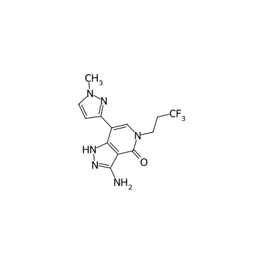 Cn1ccc(-c2cn(CCC(F)(F)F)c(=O)c3c(N)n[nH]c23)n1